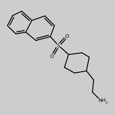 NCCC1CCC(S(=O)(=O)c2ccc3ccccc3c2)CC1